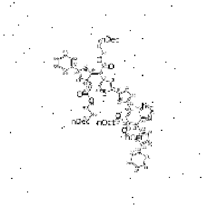 CCCCCCCCCCCCOC(=O)c1c2cc(-c3ccc(-c4c(OCCCCCCCC)c(OCCCCCCCC)c(-c5ccc(-c6ccccc6)s5)c5nsnc45)s3)sc2c(C(=O)OCCCCCCCCCCCC)c2cc(-c3ccccc3)sc12